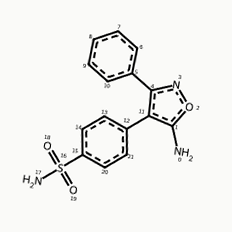 Nc1onc(-c2ccccc2)c1-c1ccc(S(N)(=O)=O)cc1